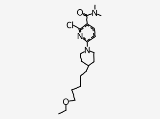 CCOCCCCCC1CCN(c2ccc(C(=O)N(C)C)c(Cl)n2)CC1